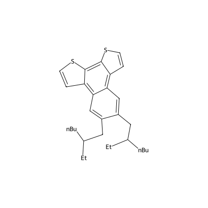 CCCCC(CC)Cc1cc2c(cc1CC(CC)CCCC)c1ccsc1c1sccc21